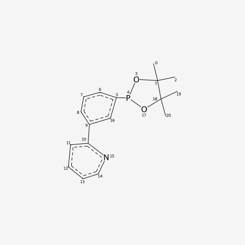 CC1(C)OP(c2cccc(-c3ccccn3)c2)OC1(C)C